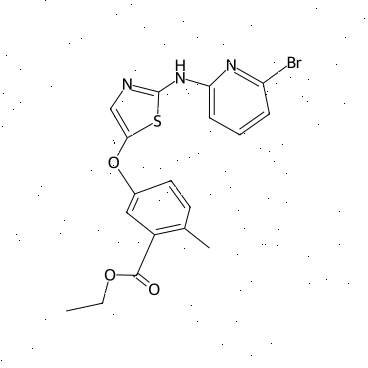 CCOC(=O)c1cc(Oc2cnc(Nc3cccc(Br)n3)s2)ccc1C